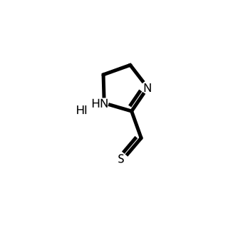 I.S=CC1=NCCN1